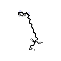 CCCCC/C=C\C/C=C\CCCCCCCCCCN(CCC)C(=O)CCN